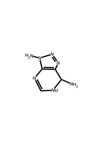 NC1NC=Nc2c1nnn2N